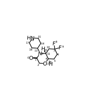 O=C1CO[C@@H]2CCC(F)(F)C[C@H]2N1C1CCNCC1